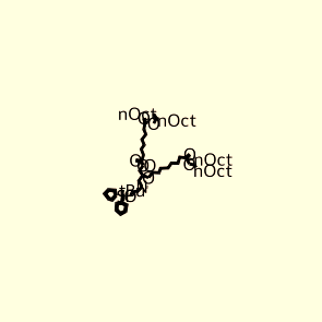 CCCCCCCCC(CCCCCCCC)OC(=O)CCCCCCC(=O)OCC(CN(C)CCO[Si](c1ccccc1)(c1ccccc1)C(C)(C)C)OC(=O)CCCCCCC(=O)OC(CCCCCCCC)CCCCCCCC